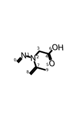 C=NN(CC(=O)O)C(=C)C